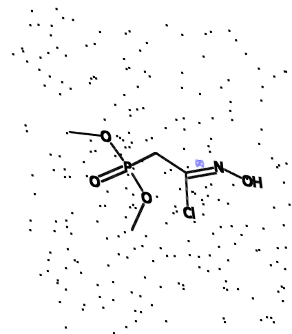 COP(=O)(C/C(Cl)=N/O)OC